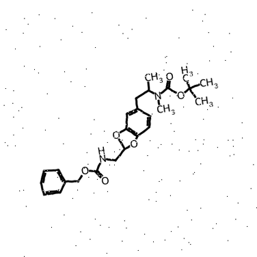 CC(Cc1ccc2c(c1)OC(CNC(=O)OCc1ccccc1)O2)N(C)C(=O)OC(C)(C)C